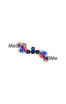 COC(=O)N[C@H](C(=O)N1CCC[C@H]1C(=O)Nc1ccc(-c2ccc(-c3ccc(NC(=O)[C@@H]4CCCN4C(=O)[C@@H](NC(=O)OC)C(C)C)cc3)c3c2C2CCC3N2C(C)C)cc1)C(C)C